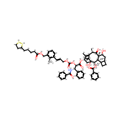 CC(=O)O[C@@]12CCC1C[C@H](O)[C@@]1(C)C(=O)[C@H](C)C3=C(C)[C@@H](OC(=O)[C@H](OC(=O)OC/C=C/c4cccc(COC(=O)CCCCC5CCSS5)c4[N+](=O)[O-])[C@@H](NC(=O)c4ccccc4)c4ccccc4)C[C@@](O)([C@@H](OC(=O)c4ccccc4)[C@@H]12)C3(C)C